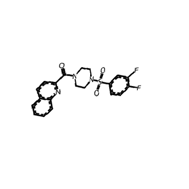 O=C(c1ccc2ccccc2n1)N1CCN(S(=O)(=O)c2ccc(F)c(F)c2)CC1